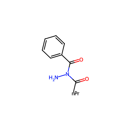 CCCC(=O)N(N)C(=O)c1ccccc1